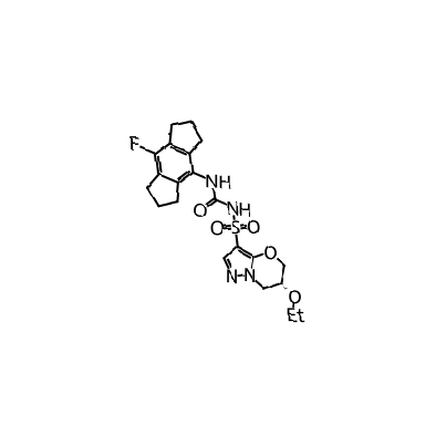 CCO[C@H]1COc2c(S(=O)(=O)NC(=O)Nc3c4c(c(F)c5c3CCC5)CCC4)cnn2C1